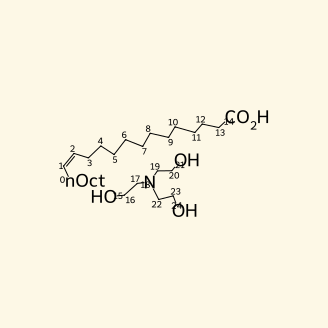 CCCCCCCC/C=C\CCCCCCCCCCCC(=O)O.OCCN(CCO)CCO